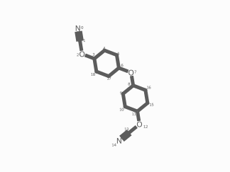 N#COC1CCC(OC2CCC(OC#N)CC2)CC1